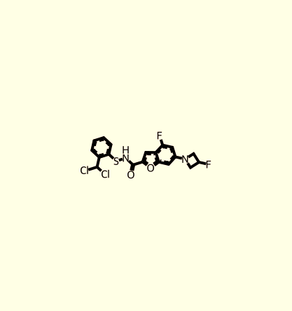 O=C(NSc1ccccc1C(Cl)Cl)c1cc2c(F)cc(N3CC(F)C3)cc2o1